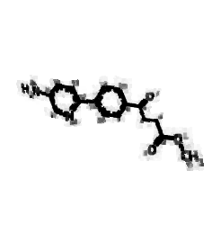 COC(=O)CCC(=O)c1ccc(-c2ccc(N)cn2)cc1